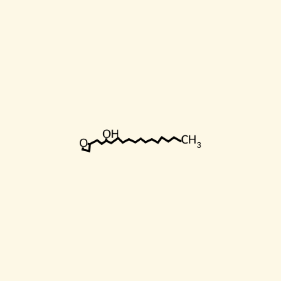 CCCCCCCCCCCCCCC(O)CCC1CCO1